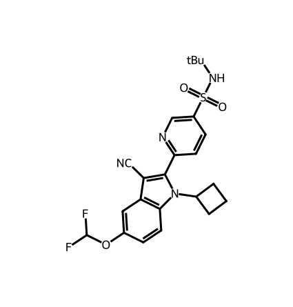 CC(C)(C)NS(=O)(=O)c1ccc(-c2c(C#N)c3cc(OC(F)F)ccc3n2C2CCC2)nc1